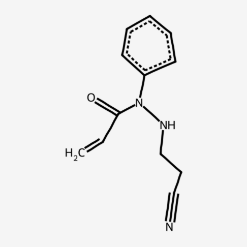 C=CC(=O)N(NCCC#N)c1ccccc1